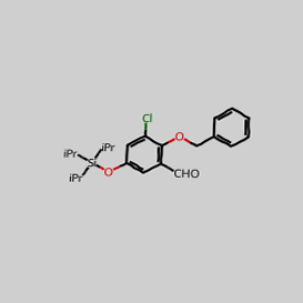 CC(C)[Si](Oc1cc(Cl)c(OCc2ccccc2)c(C=O)c1)(C(C)C)C(C)C